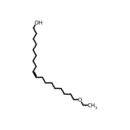 CCOCCCCCCCC/C=C\CCCCCCCCO